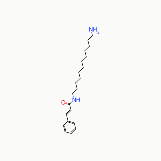 NCCCCCCCCCCCCNC(=O)C=Cc1ccccc1